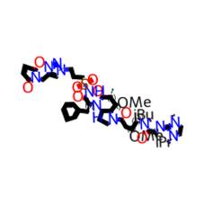 CC[C@H](C)[C@@H]([C@@H](CC(=O)N1CCCC1[C@H](OC)[C@@H](C)C(=O)N[C@@H](Cc1ccccc1)C(=O)NS(=O)(=O)CCCn1cc(CN2C(=O)C=CC2=O)nn1)OC)N(C)C(=O)[C@@H](N=C1N(C)CCN1C)C(C)C